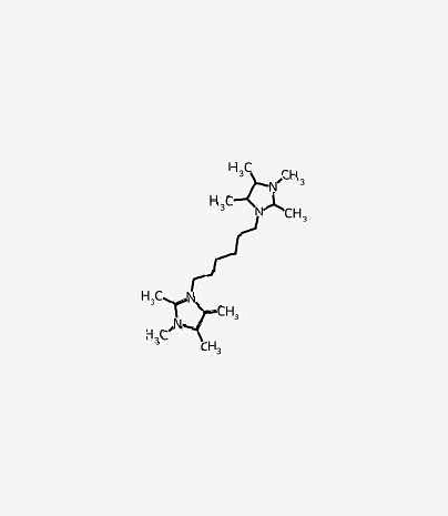 CC1C(C)N(CCCCCCN2C(C)C(C)N(C)C2C)C(C)N1C